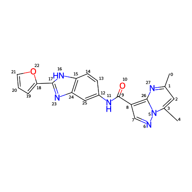 Cc1cc(C)n2ncc(C(=O)Nc3ccc4[nH]c(-c5ccco5)nc4c3)c2n1